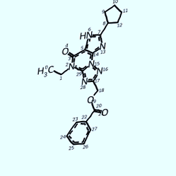 CCn1c(=O)c2[nH]c(C3CCCC3)nc2n2nc(COC(=O)c3ccccc3)nc12